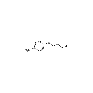 Nc1ccc(OCCCF)cc1